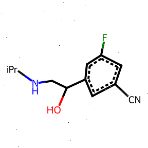 CC(C)NCC(O)c1cc(F)cc(C#N)c1